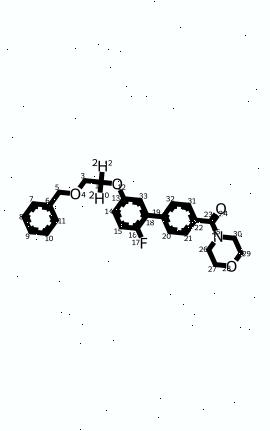 [2H]C([2H])(COCc1ccccc1)Oc1ccc(F)c(-c2ccc(C(=O)N3CCOCC3)cc2)c1